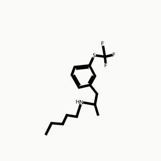 CCCCCNC(C)Cc1cccc(SC(F)(F)F)c1